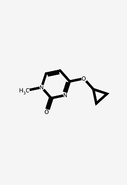 Cn1ccc(OC2CC2)nc1=O